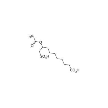 CCCC(=O)OC(CCCCCCCC(=O)O)CS(=O)(=O)O